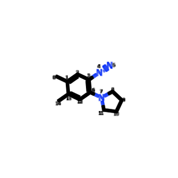 Cc1cc([N+]#N)c(N2CCCC2)cc1C